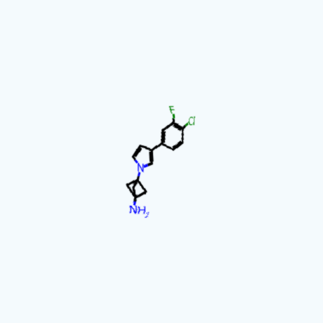 NC12CC(n3ccc(-c4ccc(Cl)c(F)c4)c3)(C1)C2